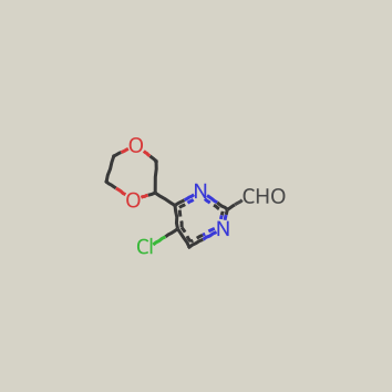 O=Cc1ncc(Cl)c(C2COCCO2)n1